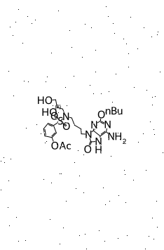 CCCCOc1nc(N)c2[nH]c(=O)n(CCCCN(C[C@@H](O)CO)S(=O)(=O)c3cccc(OC(C)=O)c3)c2n1